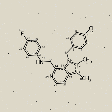 Cc1c(C)n(Cc2ccc(Cl)cc2)c2c(CNc3ccc(F)cc3)nccc12